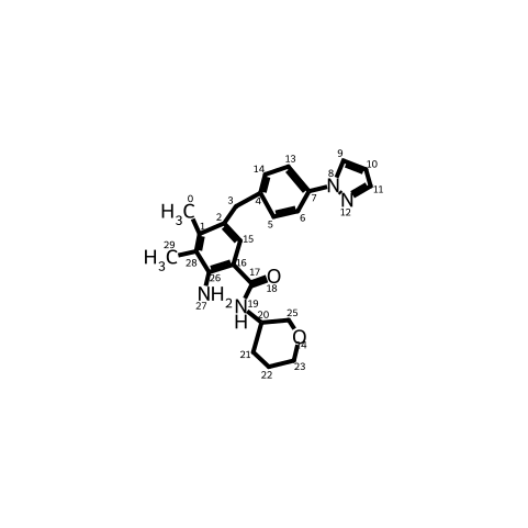 Cc1c(Cc2ccc(-n3cccn3)cc2)cc(C(=O)NC2CCCOC2)c(N)c1C